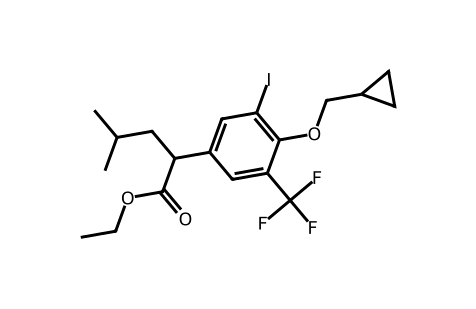 CCOC(=O)C(CC(C)C)c1cc(I)c(OCC2CC2)c(C(F)(F)F)c1